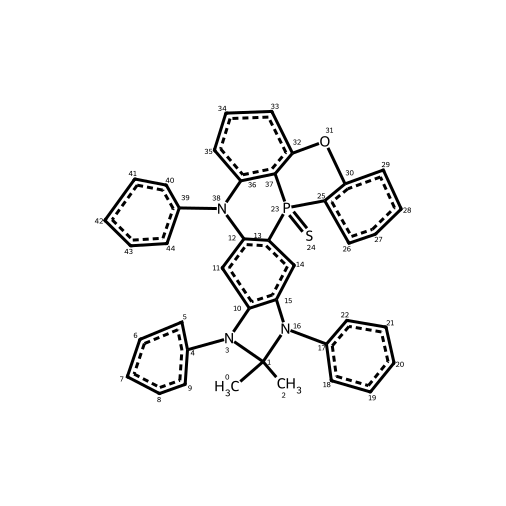 CC1(C)N(c2ccccc2)c2cc3c(cc2N1c1ccccc1)P1(=S)c2ccccc2Oc2cccc(c21)N3c1ccccc1